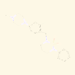 CC(=O)N1CCN(c2ccc(CN3CCCN(c4ccccc4)S3(=O)=O)c(F)c2)CC1